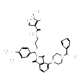 COc1ccc([C@@H](CCCNC(=O)c2cnn(C)c2Cl)N2C(=O)c3cccc(N4CCN([C@H](C)c5ccccc5)CC4)c3C2=O)cc1OC